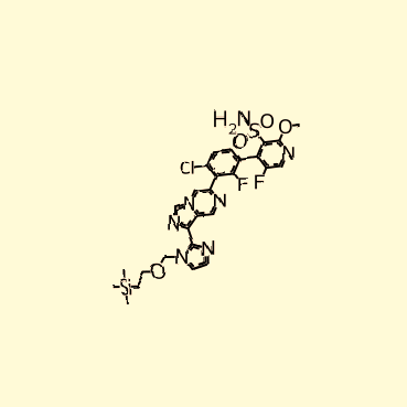 COc1ncc(F)c(-c2ccc(Cl)c(-c3cn4cnc(-c5nccn5COCC[Si](C)(C)C)c4cn3)c2F)c1S(N)(=O)=O